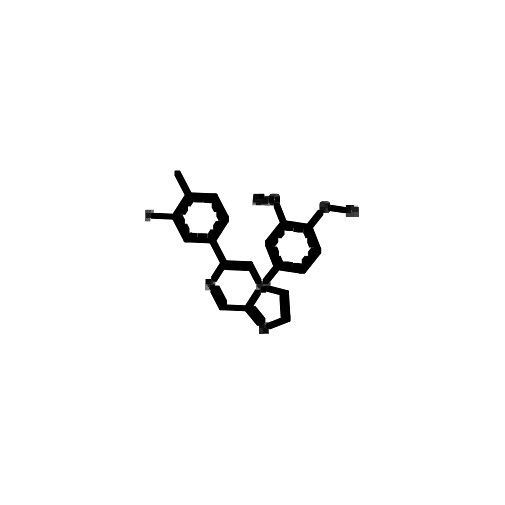 CCOc1ccc([N+]23C=CN=C2C=NC(c2ccc(C)c(F)c2)=C3)cc1OC